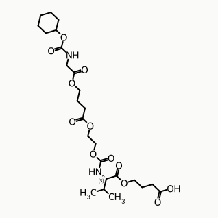 CC(C)[C@H](NC(=O)OCCOC(=O)CCCOC(=O)CNC(=O)OC1CCCCC1)C(=O)OCCCC(=O)O